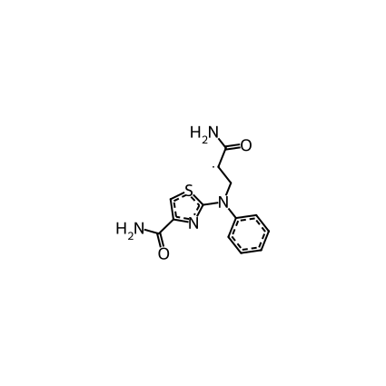 NC(=O)[CH]CN(c1ccccc1)c1nc(C(N)=O)cs1